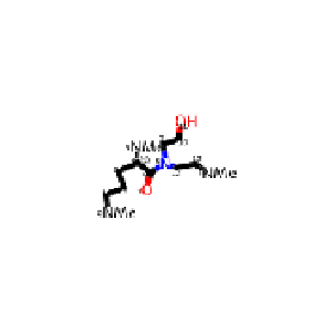 CNCCC[C@H](NC)C(=O)N(CCO)CCNC